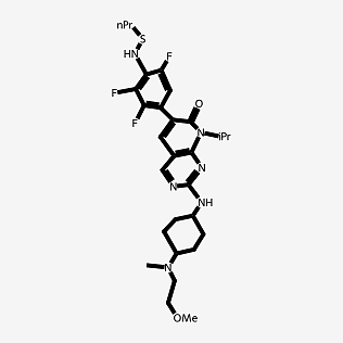 CCCSNc1c(F)cc(-c2cc3cnc(NC4CCC(N(C)CCOC)CC4)nc3n(C(C)C)c2=O)c(F)c1F